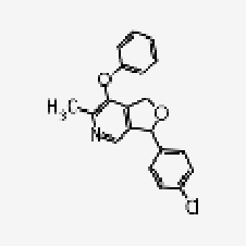 Cc1ncc2c(c1Oc1ccccc1)COC2c1ccc(Cl)cc1